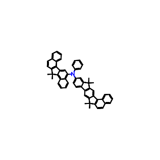 CC1(C)c2cc(N(c3ccccc3)c3cc4c(c5ccccc35)C(C)(C)c3ccc5ccccc5c3-4)ccc2-c2cc3c(cc21)-c1c(ccc2ccccc12)C3(C)C